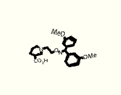 COc1cccc(C(=NOCCN2CCCC(C(=O)O)C2)c2cccc(OC)c2)c1